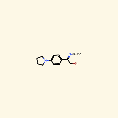 CON=C(CBr)c1ccc(N2CCCC2)cc1